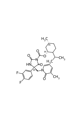 Cc1cccn(C[C@@]2(c3ccc(F)c(F)c3)NC(=O)N(C(=O)O[C@@H]3C[C@H](C)CCC3C(C)C)C2=O)c1=O